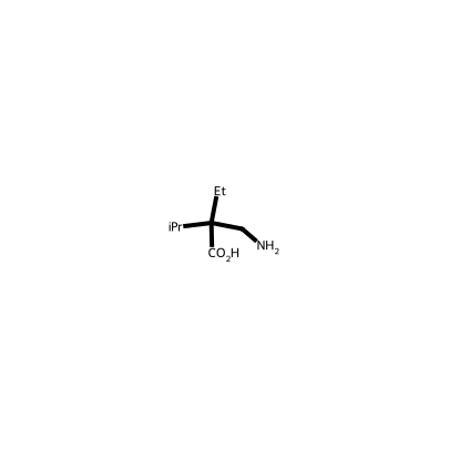 CCC(CN)(C(=O)O)C(C)C